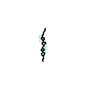 CCCCCc1ccc(C2CCC(CCc3ccc(C4=CCC(CCC)CC4)c(F)c3F)CC2)c(F)c1F